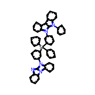 c1ccc(-n2c3ccccc3c3c4ccccc4n(-c4cccc([Si](c5ccccc5)(c5ccccc5)c5cccc(-n6c7ccccc7n7c8ccccc8nc67)c5)c4)c32)cc1